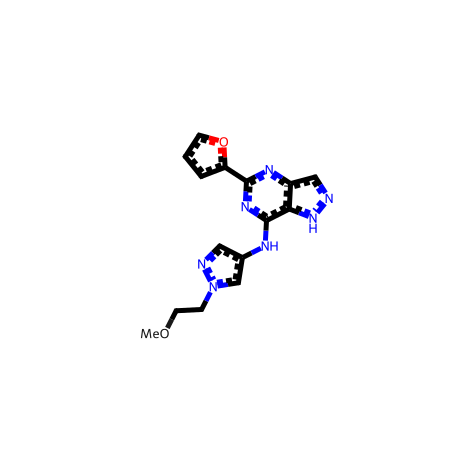 COCCn1cc(Nc2nc(-c3ccco3)nc3cn[nH]c23)cn1